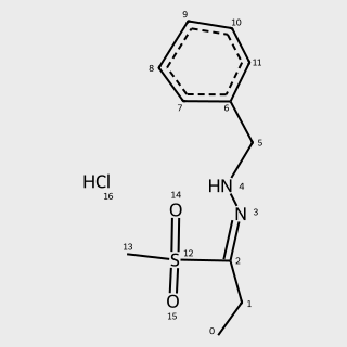 CCC(=NNCc1ccccc1)S(C)(=O)=O.Cl